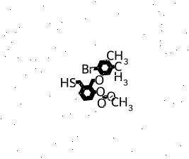 COC(=O)Oc1cccc(CS)c1COc1cc(C)c(C)cc1Br